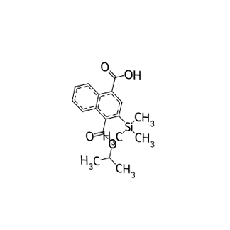 CC(C)OC(=O)c1c([Si](C)(C)C)cc(C(=O)O)c2ccccc12